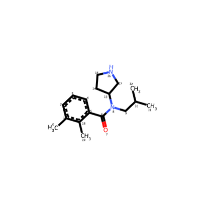 Cc1cccc(C(=O)N(CC(C)C)C2CCNC2)c1C